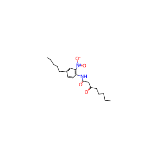 CCCCCC(=O)CC(=O)Nc1ccc(CCCCC)cc1[N+](=O)[O-]